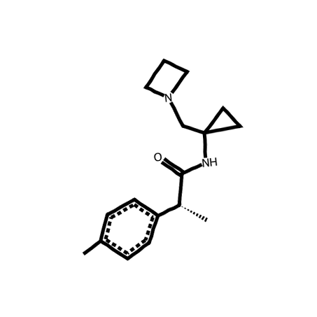 Cc1ccc([C@@H](C)C(=O)NC2(CN3CCC3)CC2)cc1